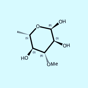 CO[C@@H]1[C@@H](O)[C@H](C)O[C@@H](O)[C@H]1O